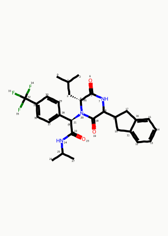 CC(C)C[C@@H]1C(=O)NC(C2Cc3ccccc3C2)C(=O)N1[C@@H](C(=O)NC(C)C)c1ccc(C(F)(F)F)cc1